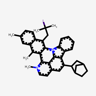 Cc1ccc2c(CC(C)(C)I)c3c(c(C)c2c1)c1c2c(cc[n+]1C)cc(C1CC4CCC1C4)c1c4ccccc4n3c12